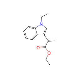 C=C(C(=O)OCC)c1cn(CC)c2ccccc12